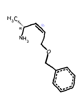 C[C@@H](N)/C=C\COCc1ccccc1